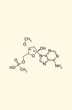 CO[C@@H]1C[C@](O)(n2cnc3c(N)ncnc32)OC1COP(C)(=O)O